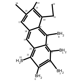 Bc1c(B)c(B)c2c(B)c3c(CC)c(C)c(C)cc3cc2c1B